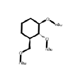 CCCCOC[C@H]1CCC[C@@H](OCCCC)[C@@H]1OCCCC